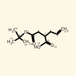 C=CCC(CC(=O)OC(C)(C)C)C(=O)O